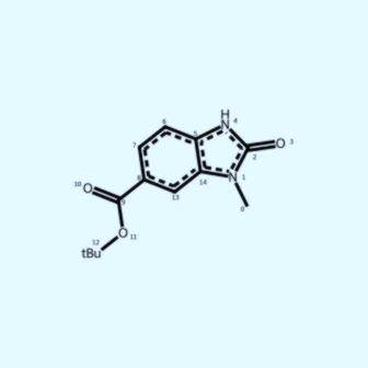 Cn1c(=O)[nH]c2ccc(C(=O)OC(C)(C)C)cc21